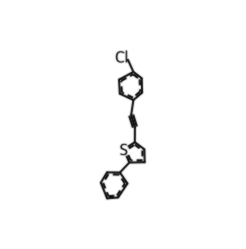 Clc1ccc(C#Cc2ccc(-c3ccccc3)s2)cc1